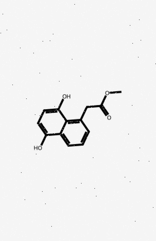 COC(=O)Cc1cccc2c(O)ccc(O)c12